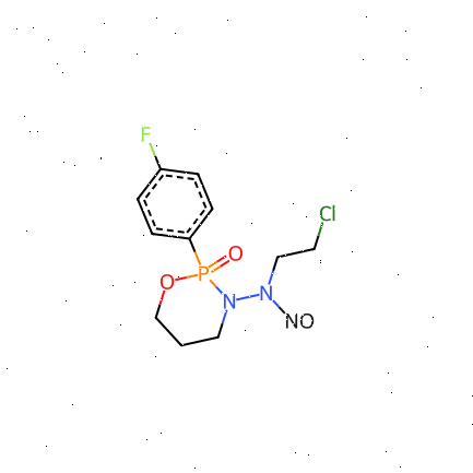 O=NN(CCCl)N1CCCOP1(=O)c1ccc(F)cc1